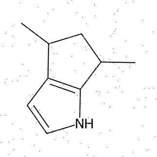 CC1CC(C)c2[nH]ccc21